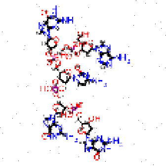 Nc1ccn([C@H]2C[C@H](OP(=O)(O)OC[C@H]3O[C@@H](n4cnc5c(=O)[nH]c(N)nc54)C[C@@H]3OP(=O)(O)OC[C@H]3O[C@@H](n4cnc5c(=O)[nH]c(N)nc54)C[C@@H]3O)[C@@H](COP(=O)(O)O[C@H]3C[C@H](n4cnc5c(=O)[nH]c(N)nc54)O[C@@H]3COP(=O)(O)O[C@H]3C[C@H](n4cnc5c(N)ncnc54)O[C@@H]3CO)O2)c(=O)n1